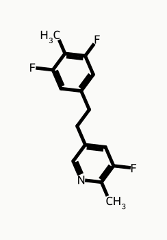 Cc1ncc(CCc2cc(F)c(C)c(F)c2)cc1F